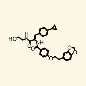 O=C(NCCO)/C(=C/c1ccc(C2CC2)cc1)NC(=O)c1ccc(OCCc2ccc3c(c2)OCO3)cc1